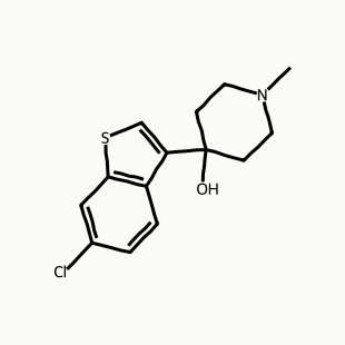 CN1CCC(O)(c2csc3cc(Cl)ccc23)CC1